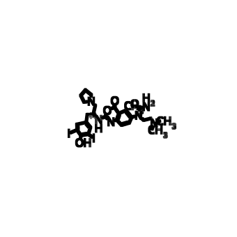 Cc1c(N(CCN(C)C)C(N)=O)ccc2nc(N[C@@H](Cc3cc(I)c(O)c(I)c3)CN3CCCC3)oc(=O)c12